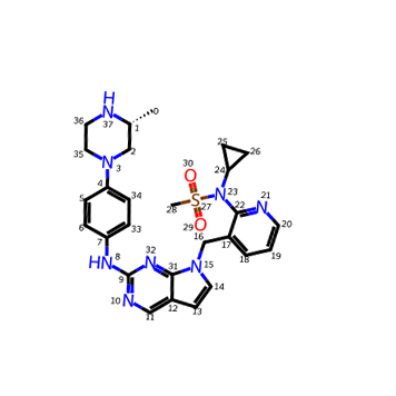 C[C@@H]1CN(c2ccc(Nc3ncc4ccn(Cc5cccnc5N(C5CC5)S(C)(=O)=O)c4n3)cc2)CCN1